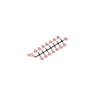 OCC(Br)(Br)C(Br)(Br)C(Br)(Br)C(Br)(Br)C(Br)(Br)C(Br)(Br)C(Br)(Br)Br